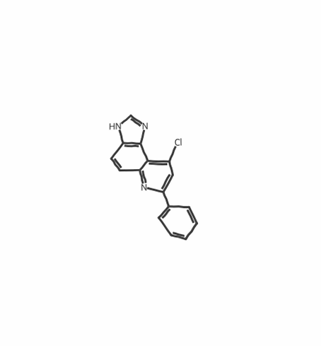 Clc1cc(-c2ccccc2)nc2ccc3[nH]cnc3c12